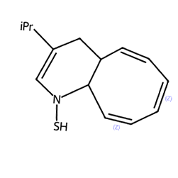 CC(C)C1=CN(S)C2/C=C\C=C/C=CC2C1